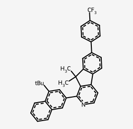 CC(C)(C)c1cc(-c2nccc3c2C(C)(C)c2cc(-c4ccc(C(F)(F)F)cc4)ccc2-3)cc2ccccc12